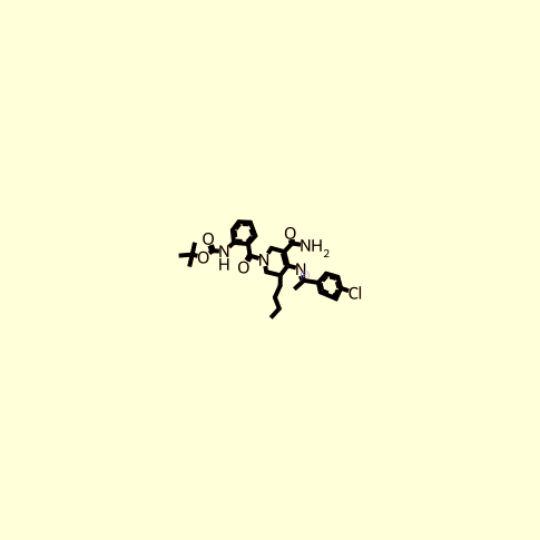 CCCCC1CN(C(=O)c2ccccc2NC(=O)OC(C)(C)C)CC(C(N)=O)=C1/N=C(\C)c1ccc(Cl)cc1